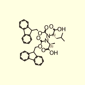 CC(C)C[C@@H](C(=O)O)N(C(=O)OCC1c2ccccc2-c2ccccc21)N(C(=O)OCC1c2ccccc2-c2ccccc21)[C@@H](C)C(=O)O